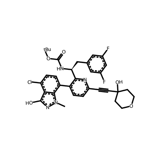 Cn1nc(O)c2c(Cl)ccc(-c3ccc(C#CC4(O)CCOCC4)nc3[C@H](Cc3cc(F)cc(F)c3)NC(=O)OC(C)(C)C)c21